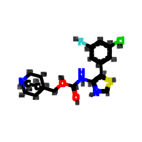 O=C(Nc1ncsc1-c1cc(F)cc(Cl)c1)OCC12CCN(CC1)CC2